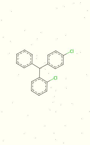 Clc1ccc([C](c2ccccc2)c2ccccc2Cl)cc1